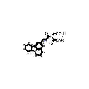 CSC(=S)N(CC(=O)O)C(=O)/C=C/c1cc2c3c(c1)C1CCCCC1N3CCC2